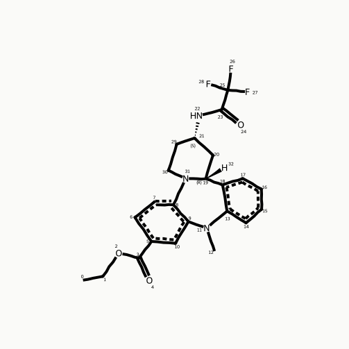 CCOC(=O)c1ccc2c(c1)N(C)c1ccccc1[C@H]1C[C@@H](NC(=O)C(F)(F)F)CCN21